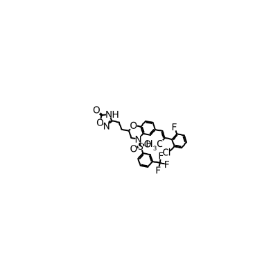 CC(=Cc1ccc2c(c1)N(S(=O)(=O)c1cccc(C(F)(F)F)c1)CC(CCc1noc(=O)[nH]1)O2)c1c(F)cccc1Cl